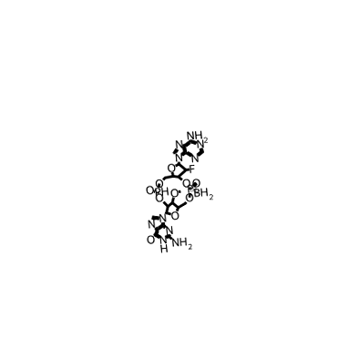 B[P@]1(=O)OCC2OC(n3cnc4c(=O)[nH]c(N)nc43)C(O[PH](=O)OCC3OC(n4cnc5c(N)ncnc54)C(F)C3O1)C2OC